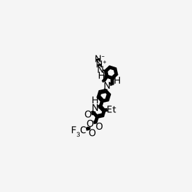 CCc1cc(C(=O)OC(=O)C(F)(F)F)c(=O)[nH]c1-c1ccc(N2C[C@H]3CCC[C@H](N=[N+]=[N-])[C@H]3C2)cc1